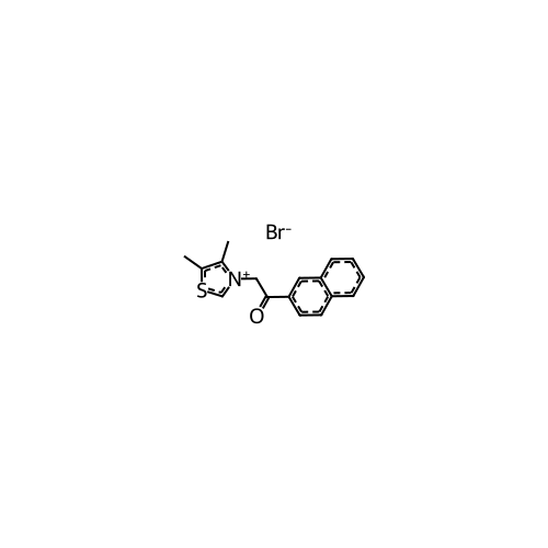 Cc1sc[n+](CC(=O)c2ccc3ccccc3c2)c1C.[Br-]